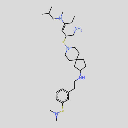 CC/C(=C\C(CN)SN1CCC2(CCC(NCCc3cccc(SN(C)C)c3)C2)CC1)N(C)CC(C)C